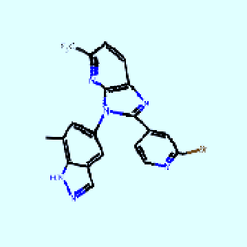 Cc1cc(-n2c(-c3ccnc(Br)c3)nc3ccc(C(F)(F)F)nc32)cc2cn[nH]c12